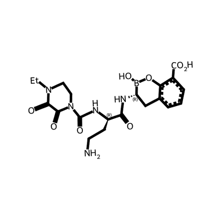 CCN1CCN(C(=O)N[C@H](CCN)C(=O)N[C@H]2Cc3cccc(C(=O)O)c3OB2O)C(=O)C1=O